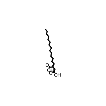 CCCCCCCCCCCCCC=C(CC(=O)O)C(=O)O